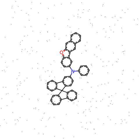 c1ccc(N(c2ccc3c(c2)-c2ccccc2C32c3ccccc3-c3ccccc32)c2ccc3oc4cc5ccccc5cc4c3c2)cc1